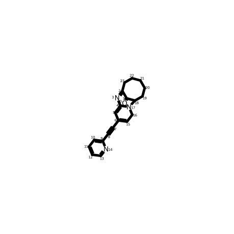 O=C1C2=NC3=CC(C#Cc4ccccn4)=CCN3C1CCCCC2